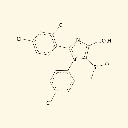 C[S+]([O-])c1c(C(=O)O)nc(-c2ccc(Cl)cc2Cl)n1-c1ccc(Cl)cc1